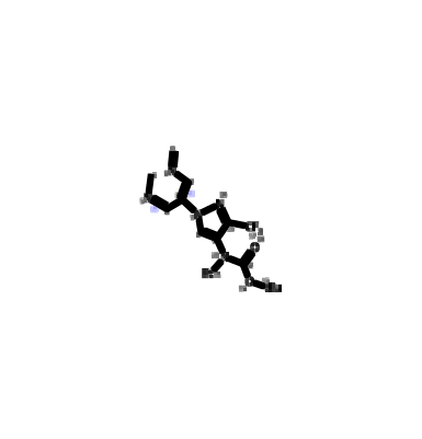 C=N/C=C(\C=N/C)n1cc(N(CC)C(=O)OC(C)(C)C)c(C(F)(F)F)n1